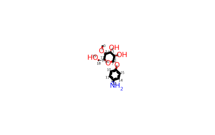 CO[C@@H]1[C@H](O)[C@@H](O)[C@H](Oc2ccc(N)cc2)O[C@@H]1CO